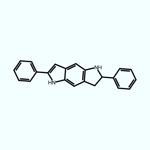 c1ccc(-c2cc3cc4c(cc3[nH]2)CC(c2ccccc2)N4)cc1